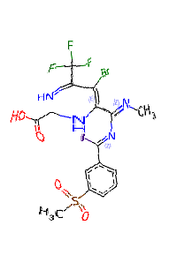 C/N=C(\N=C(/I)c1cccc(S(C)(=O)=O)c1)C(/NCC(=O)O)=C(\Br)C(=N)C(F)(F)F